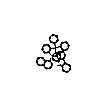 c1ccc(C2(c3ccccc3N(c3cccc4ccccc34)c3cccc4c3oc3ccccc34)c3ccccc3-c3ccccc32)cc1